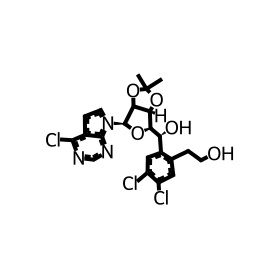 CC1(C)OC2[C@H](n3ccc4c(Cl)ncnc43)O[C@H]([C@H](O)c3cc(Cl)c(Cl)cc3CCO)[C@H]2O1